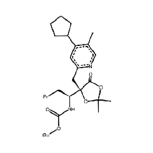 Cc1cnc(C[C@]2([C@H](CC(C)C)NC(=O)OC(C)(C)C)OC(C)(C)OC2=O)cc1C1CCCC1